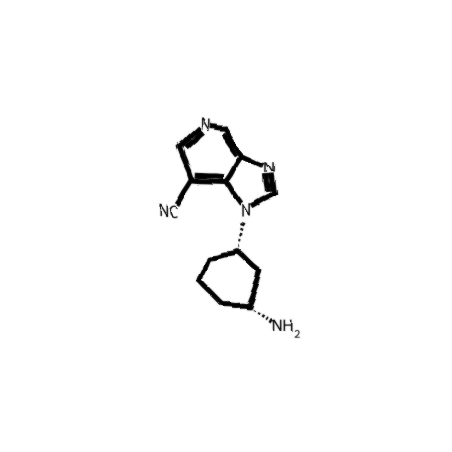 N#Cc1cncc2ncn([C@H]3CCC[C@@H](N)C3)c12